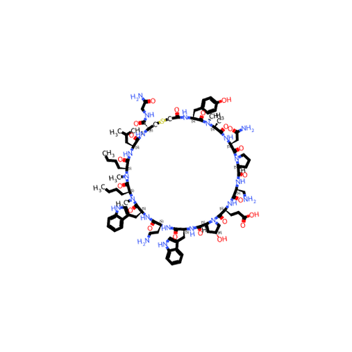 CCCC[C@H]1C(=O)N(C)[C@@H](CCCC)C(=O)N[C@@H](CC(C)C)C(=O)N[C@H](C(=O)NCC(N)=O)CSCC(=O)N[C@@H](Cc2ccc(O)cc2)C(=O)N(C)[C@@H](C)C(=O)N[C@@H](CC(N)=O)C(=O)N2CCC[C@H]2C(=O)N[C@@H](CN)C(=O)N[C@@H](CCC(=O)O)C(=O)N2C[C@H](O)C[C@H]2C(=O)N[C@@H](Cc2c[nH]c3ccccc23)C(=O)N[C@@H](CCN)C(=O)N[C@@H](Cc2c[nH]c3ccccc23)C(=O)N1C